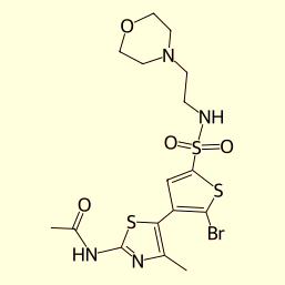 CC(=O)Nc1nc(C)c(-c2cc(S(=O)(=O)NCCN3CCOCC3)sc2Br)s1